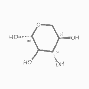 OC1[C@H](O)OC[C@@H](O)[C@@H]1O